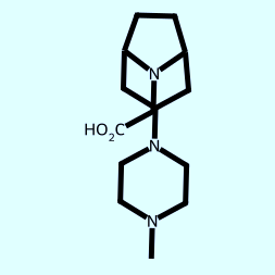 CN1CCN(C2CC3CCC(C2)N3CC(=O)O)CC1